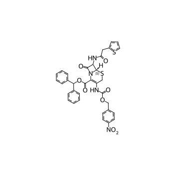 O=C(Cc1cccs1)NC1C(=O)N2C(C(=O)OC(c3ccccc3)c3ccccc3)=C(NC(=O)OCc3ccc([N+](=O)[O-])cc3)CS[C@@H]12